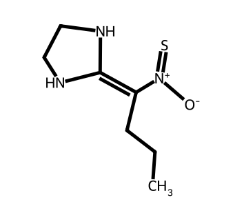 CCCC(=C1NCCN1)[N+]([O-])=S